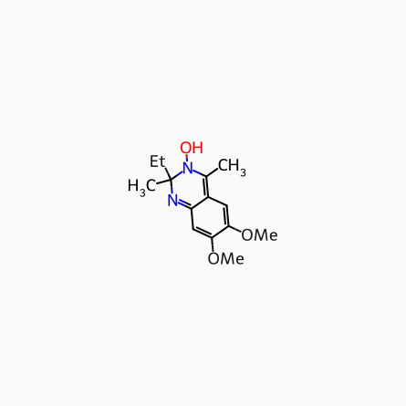 CCC1(C)N=c2cc(OC)c(OC)cc2=C(C)N1O